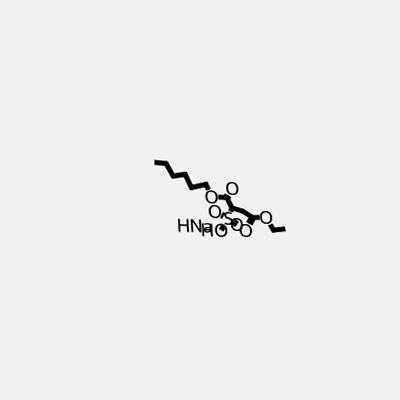 CCCCCCOC(=O)C(CC(=O)OCC)S(=O)(=O)O.[NaH]